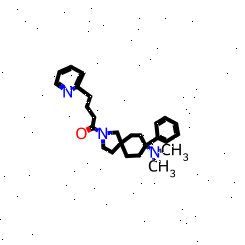 CN(C)C1(c2ccccc2)CCC2(CCN(C(=O)CCCc3ccccn3)C2)CC1